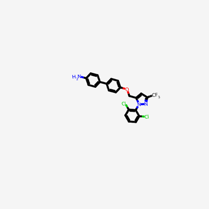 Nc1ccc(-c2ccc(OCc3cc(C(F)(F)F)nn3-c3c(Cl)cccc3Cl)cc2)cc1